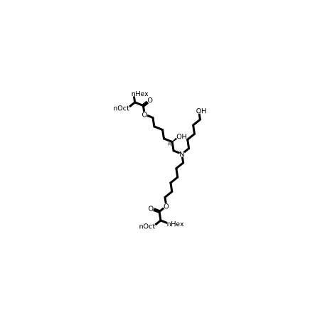 CCCCCCCCC(CCCCCC)C(=O)OCCCCCCN(CCCCCO)C[C@H](O)CCCCOC(=O)C(CCCCCC)CCCCCCCC